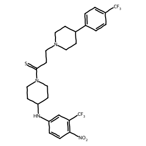 O=[N+]([O-])c1ccc(NC2CCN(C(=S)CCN3CCC(c4ccc(C(F)(F)F)cc4)CC3)CC2)cc1C(F)(F)F